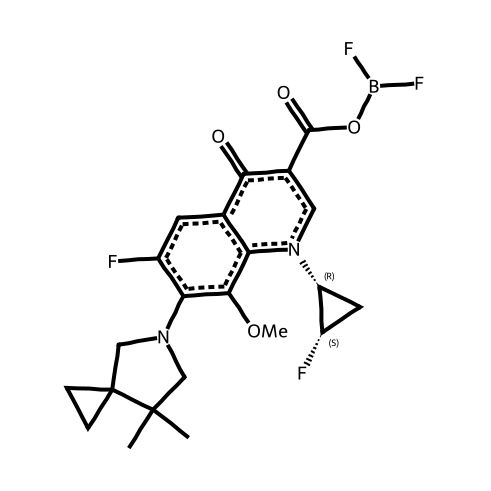 COc1c(N2CC(C)(C)C3(CC3)C2)c(F)cc2c(=O)c(C(=O)OB(F)F)cn([C@@H]3C[C@@H]3F)c12